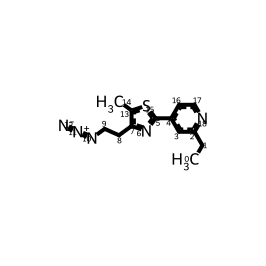 CCc1cc(-c2nc(CCN=[N+]=[N-])c(C)s2)ccn1